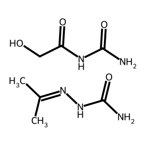 CC(C)=NNC(N)=O.NC(=O)NC(=O)CO